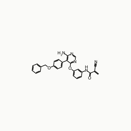 C=C(C#N)C(=O)Nc1cccc(Oc2ncnc(N)c2-c2ccc(OCc3ccccc3)cc2)c1